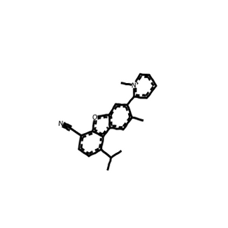 Cc1cc2c(cc1-c1cccc[n+]1C)oc1c(C#N)ccc(C(C)C)c12